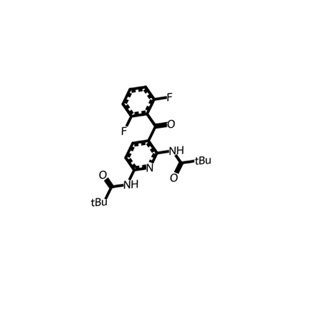 CC(C)(C)C(=O)Nc1ccc(C(=O)c2c(F)cccc2F)c(NC(=O)C(C)(C)C)n1